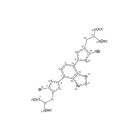 CCCCCCCCCCC(CCCCCCCC)Cc1cc(-c2ccc(-c3cc(CC(CCCCCCCC)CCCCCCCCCC)c(Br)s3)c3nsnc23)sc1Br